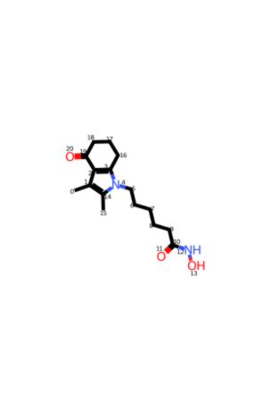 Cc1c2c(n(CCCCCC(=O)NO)c1C)CCCC2=O